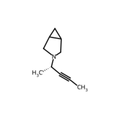 CC#C[C@H](C)N1CC2CC2C1